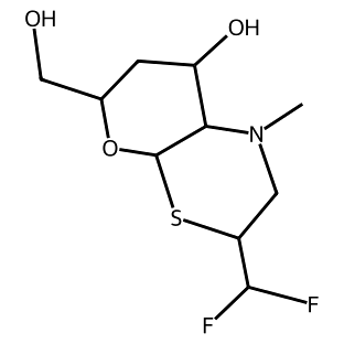 CN1CC(C(F)F)SC2OC(CO)CC(O)C21